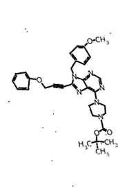 COc1ccc(Cn2c(C#CCOc3ccccc3)nc3c(N4CCN(C(=O)OC(C)(C)C)CC4)ncnc32)cc1